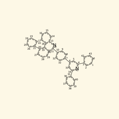 c1ccc(-c2cc(-c3ccc(-c4nc5ccccc5c5c(-c6ccccc6)cccc45)cc3)cc(-c3ccccc3)n2)cc1